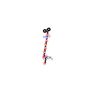 CN(OC(=O)CCOCCOCCOCCOCCNC(=O)OCC1c2ccccc2-c2ccccc21)C(=O)CCC=O